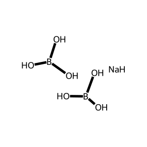 OB(O)O.OB(O)O.[NaH]